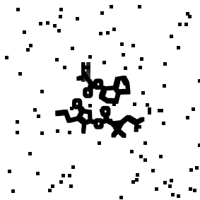 C=CCC1=C(C)C(OC(=O)C2C(C=C(C)C)C2(C)C)CC1=O.CNC(=O)Oc1cccc2ccccc12